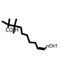 CCCCCCCC/C=C\CCCCCC(C)(C)C(C)(C)C(=O)O